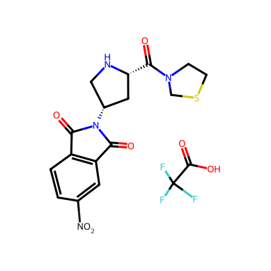 O=C(O)C(F)(F)F.O=C([C@@H]1C[C@H](N2C(=O)c3ccc([N+](=O)[O-])cc3C2=O)CN1)N1CCSC1